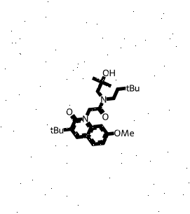 COc1ccc2cc(C(C)(C)C)c(=O)n(CC(=O)N(CCC(C)(C)C)CC(C)(C)O)c2c1